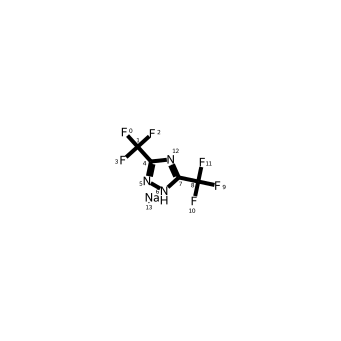 FC(F)(F)c1n[nH]c(C(F)(F)F)n1.[Na]